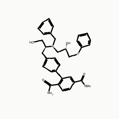 CNC(=O)c1ccc(C(N)=O)c(-c2ccc(C[C@@H](CO)N(Cc3ccccc3)C[C@H](O)COc3ccccc3)cc2)c1